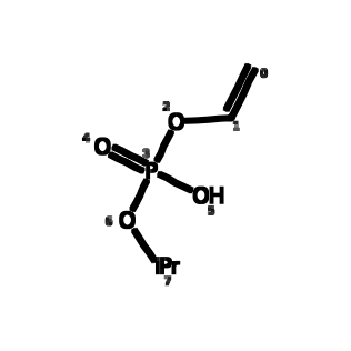 C=COP(=O)(O)OC(C)C